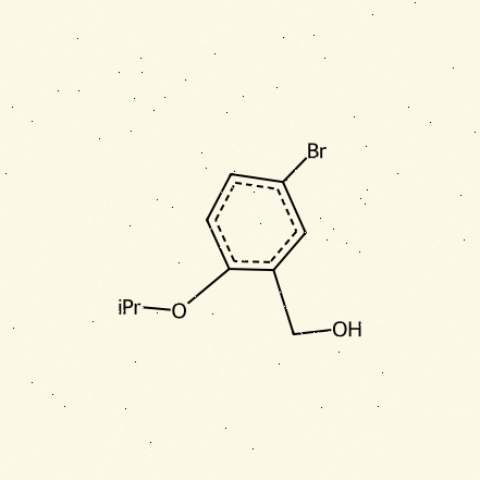 CC(C)Oc1ccc(Br)cc1CO